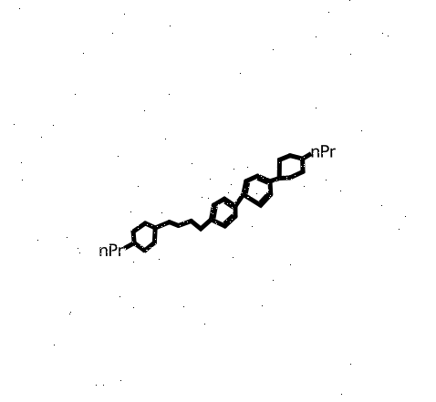 CCCC1CCC(CCCCc2ccc(-c3ccc(C4CCC(CCC)CC4)cc3)cc2)CC1